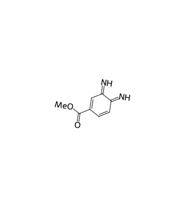 COC(=O)C1=CC(=N)C(=N)C=C1